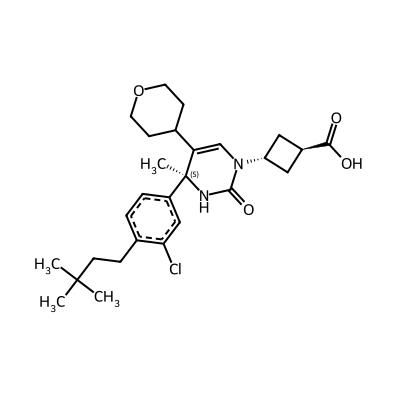 CC(C)(C)CCc1ccc([C@]2(C)NC(=O)N([C@H]3C[C@H](C(=O)O)C3)C=C2C2CCOCC2)cc1Cl